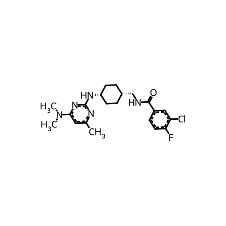 Cc1cc(N(C)C)nc(N[C@H]2CC[C@@H](CNC(=O)c3ccc(F)c(Cl)c3)CC2)n1